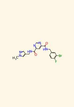 Cn1cc(CNC(=O)c2cc(C(=O)NCc3ccc(F)c(Br)c3)ncn2)cn1